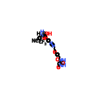 CC(O)(COc1ccc(N2CCN(CCCOc3ccc(CC(=O)NC4CCC(=O)NC4=O)cc3)CC2)cc1)C(=O)Nc1ccc(C#N)c(C(F)(F)F)c1